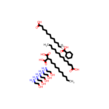 CCCCCCCCCCC=CC(=O)O.CCCCCCCCCCCC(=O)O.CCCCCCCCCCCC(C(=O)O)C(=O)O.NCCO.NCCO.NCCO.NCCO.NCCO.O=C(O)C1CCCCC1